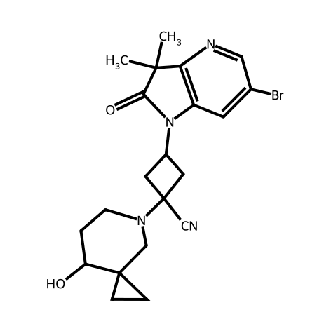 CC1(C)C(=O)N(C2CC(C#N)(N3CCC(O)C4(CC4)C3)C2)c2cc(Br)cnc21